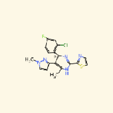 CC1=C(c2ccn(C)n2)[C@@H](c2ccc(F)cc2Cl)N=C(c2nccs2)N1